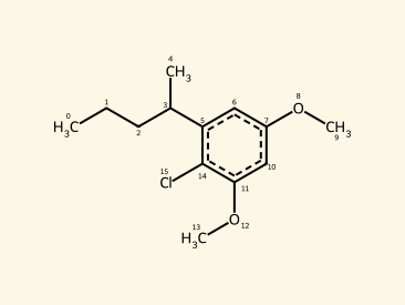 CCCC(C)c1cc(OC)cc(OC)c1Cl